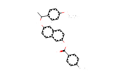 CNOc1ccc(C(C)Oc2ccc3cc(OC(=O)c4ccc(OC(C)=O)cc4)ccc3c2)cc1